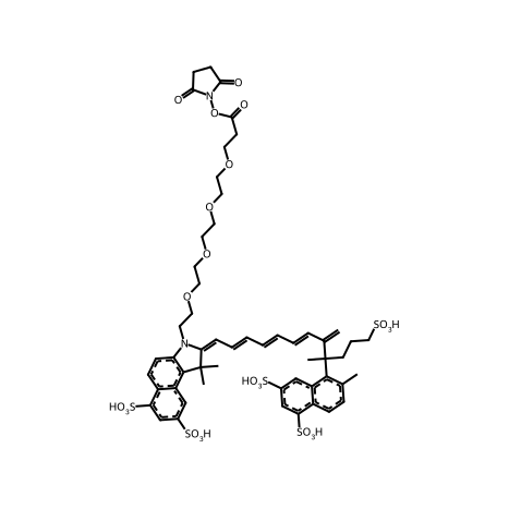 C=C(/C=C/C=C/C=C/C=C1/N(CCOCCOCCOCCOCCC(=O)ON2C(=O)CCC2=O)c2ccc3c(S(=O)(=O)O)cc(S(=O)(=O)O)cc3c2C1(C)C)C(C)(CCCS(=O)(=O)O)c1c(C)ccc2c(S(=O)(=O)O)cc(S(=O)(=O)O)cc12